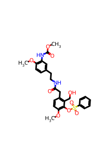 COC(=O)Nc1cc(CCNC(=O)Cc2ccc(OC)c(OS(=O)(=O)c3ccccc3)c2CO)ccc1OC